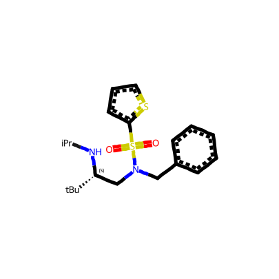 CC(C)N[C@H](CN(Cc1ccccc1)S(=O)(=O)c1cccs1)C(C)(C)C